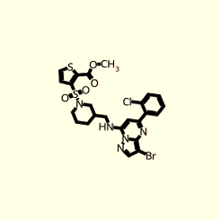 COC(=O)c1sccc1S(=O)(=O)N1CCCC(CNc2cc(-c3ccccc3Cl)nc3c(Br)cnn23)C1